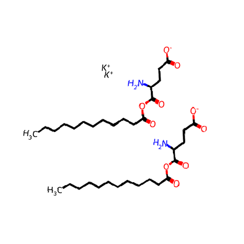 CCCCCCCCCCCC(=O)OC(=O)C(N)CCC(=O)[O-].CCCCCCCCCCCC(=O)OC(=O)C(N)CCC(=O)[O-].[K+].[K+]